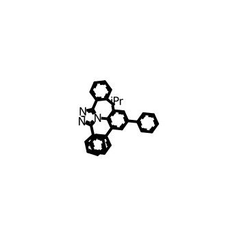 Cc1ccccc1-c1nnc(-c2ccccc2)n1-c1c(-c2ccccc2)cc(-c2ccccc2)cc1C(C)C